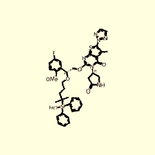 COc1ccc(F)cc1[C@H](COc1nc2sc(-n3nccn3)c(C)c2c(=O)n1[C@H]1CNC(=O)C1)OCCCC(C)(C)[Si](O)(c1ccccc1)c1ccccc1